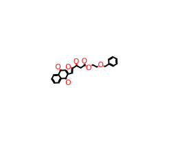 O=C(CC(=O)c1cc2c(o1)C(=O)c1ccccc1C2=O)OCCOCc1ccccc1